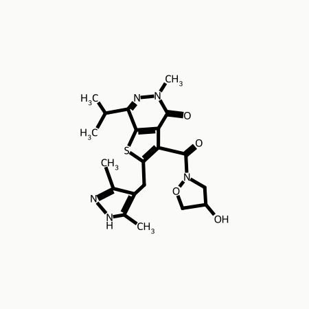 Cc1n[nH]c(C)c1Cc1sc2c(C(C)C)nn(C)c(=O)c2c1C(=O)N1CC(O)CO1